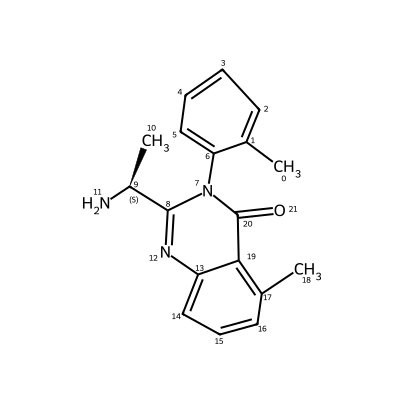 Cc1ccccc1-n1c([C@H](C)N)nc2cccc(C)c2c1=O